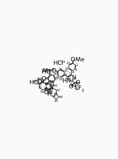 COc1ccc(-c2nc(S(=O)(=O)C(F)(F)F)[nH]c2-c2ccc(OC)cc2)cc1.Cl.Oc1ccc2c3c1O[C@H]1[C@@H](O)CC[C@@]4(O)[C@@H](C2)N(CC2CCC2)CC[C@]314